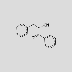 N#CC(Cc1ccccc1)C(=O)c1ccccc1